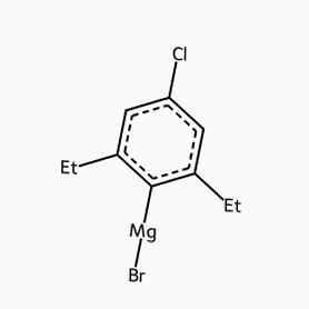 CCc1cc(Cl)cc(CC)[c]1[Mg][Br]